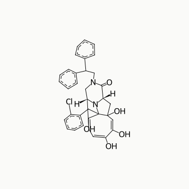 O=C1[C@@H]2CC3(O)/C=C(O)\C(O)=C/C4=CC3(Cc3c(O)cccc3Cl)N2[C@H]4CN1CC(c1ccccc1)c1ccccc1